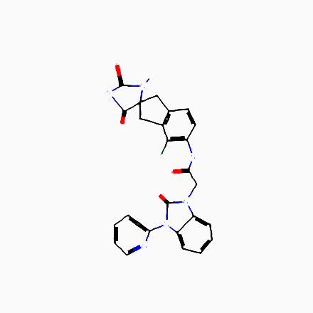 CN1C(=O)NC(=O)C12Cc1ccc(NC(=O)Cn3c(=O)n(-c4ccccn4)c4ccccc43)c(Cl)c1C2